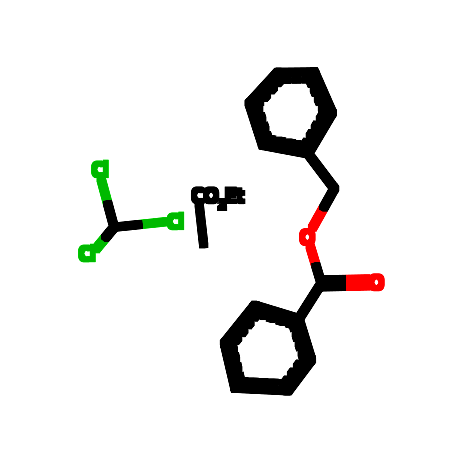 CCOC(C)=O.ClC(Cl)Cl.O=C(OCc1ccccc1)c1ccccc1